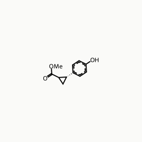 COC(=O)C1C[C@H]1c1ccc(O)cc1